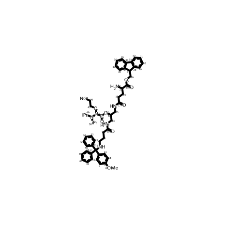 COc1ccc(C(NCCCC(=O)NCC(CNC(=O)CCC(N)C(=O)OCC2c3ccccc3-c3ccccc32)OP(O)N(OCCC#N)N(C(C)C)C(C)C)(c2ccccc2)c2ccccc2)cc1